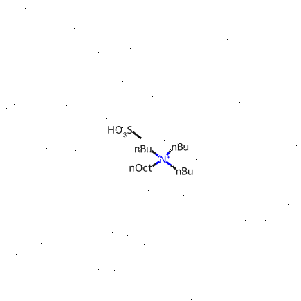 CCCCCCCC[N+](CCCC)(CCCC)CCCC.CS(=O)(=O)O